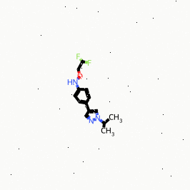 CC(C)n1cc(-c2ccc(NOCC(F)F)cc2)cn1